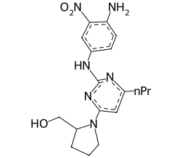 CCCc1cc(N2CCCC2CO)nc(Nc2ccc(N)c([N+](=O)[O-])c2)n1